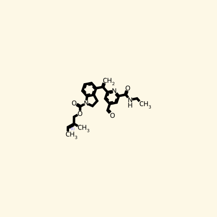 C=C(c1cc(C=O)cc(C(=O)NCC)n1)c1cccc2c1CCN2C(=O)OC/C(C)=C/C